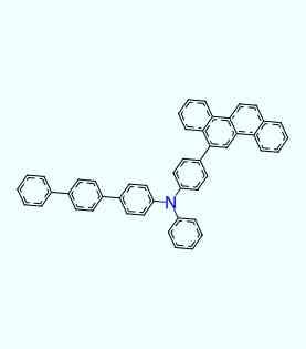 c1ccc(-c2ccc(-c3ccc(N(c4ccccc4)c4ccc(-c5cc6c7ccccc7ccc6c6ccccc56)cc4)cc3)cc2)cc1